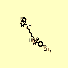 COc1ccc(S(=O)(=O)NCCCCCCNc2nsc3nccn23)cc1